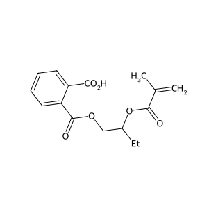 C=C(C)C(=O)OC(CC)COC(=O)c1ccccc1C(=O)O